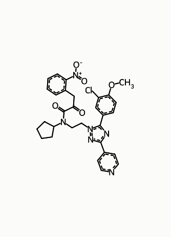 COc1ccc(-c2nc(-c3ccncc3)nn2CCN(C(=O)C(=O)Cc2ccccc2[N+](=O)[O-])C2CCCC2)cc1Cl